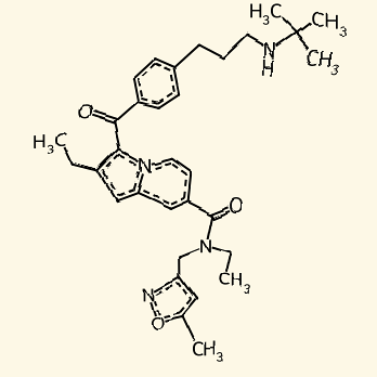 CCc1cc2cc(C(=O)N(CC)Cc3cc(C)on3)ccn2c1C(=O)c1ccc(CCCNC(C)(C)C)cc1